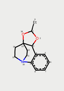 CCC1OC2c3ccccc3N3CCC2(CC3)O1